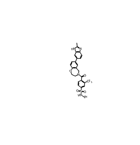 Cc1nc2ccc(-c3ccc4c(c3)CN(C(=O)c3ccc(S(=O)(=O)NC(C)C)cc3C(F)(F)F)CCO4)cc2[nH]1